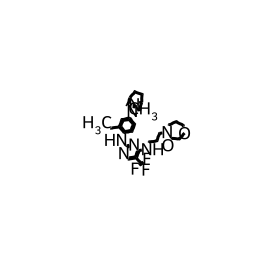 CCc1cc(N2CC3CCC(C2)N3C)ccc1Nc1ncc(C(F)(F)F)c(NCCCN2CCCOCC2=O)n1